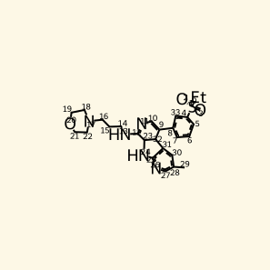 CCS(=O)(=O)c1cccc(C2=CN=C(NCCCN3CCOCC3)C3Nc4ncc(C)cc4C23)c1